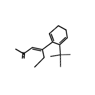 CC/C(=C\NC)C1=CCCC=C1C(C)(C)C